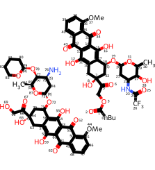 CCCCC(=O)OCC(=O)[C@]1(O)Cc2c(O)c3c(c(O)c2[C@@H](OC2CC(NC(=O)C(F)(F)F)C(O)C(C)O2)C1)C(=O)c1c(OC)cccc1C3=O.COc1cccc2c1C(=O)c1c(O)c3c(c(O)c1C2=O)C[C@@](O)(C(=O)CO)CC3O[C@H]1C[C@H](N)[C@H](O[C@@H]2CCCCO2)[C@H](C)O1